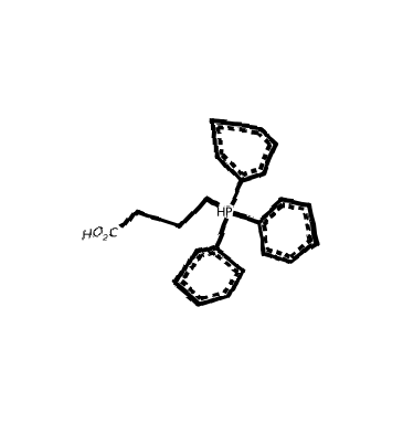 O=C(O)CCC[PH](c1ccccc1)(c1ccccc1)c1ccccc1